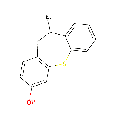 CCC1Cc2ccc(O)cc2Sc2ccccc21